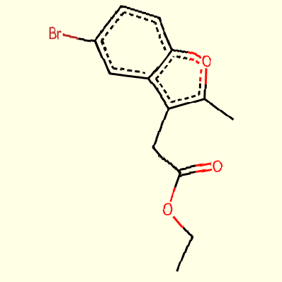 CCOC(=O)Cc1c(C)oc2ccc(Br)cc12